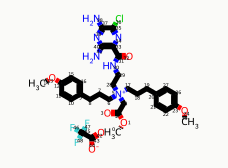 COC(=O)C[N+](CCCc1ccc(OC)cc1)(CCCc1ccc(OC)cc1)CCNC(=O)c1nc(Cl)c(N)nc1N.O=C([O-])C(F)(F)F